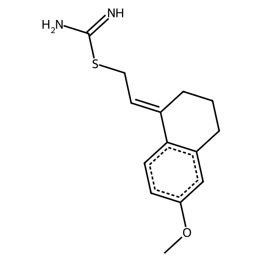 COc1ccc2c(c1)CCC/C2=C\CSC(=N)N